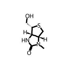 CN1C(=O)N[C@@H]2[C@H](CO)SC[C@@H]21